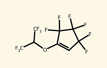 FC(F)(F)C(OC1=CC(F)(F)C(F)(F)C1(F)F)C(F)(F)F